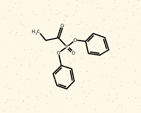 CCC(=O)P(=O)(Oc1ccccc1)Oc1ccccc1